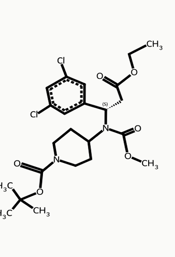 CCOC(=O)C[C@@H](c1cc(Cl)cc(Cl)c1)N(C(=O)OC)C1CCN(C(=O)OC(C)(C)C)CC1